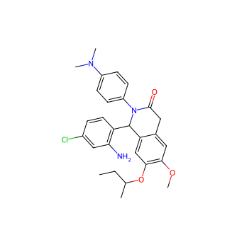 CCC(C)Oc1cc2c(cc1OC)CC(=O)N(c1ccc(N(C)C)cc1)C2c1ccc(Cl)cc1N